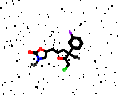 CN1CC(CCCC(C)(C(=O)CCl)c2cccc(I)c2)OC1=O